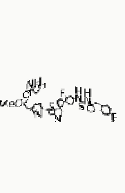 COC(COC(N)=O)Cc1ccc(-c2cc3nccc(Oc4ccc(NC(=S)NC(=O)Cc5ccc(F)cc5)cc4F)c3s2)nc1